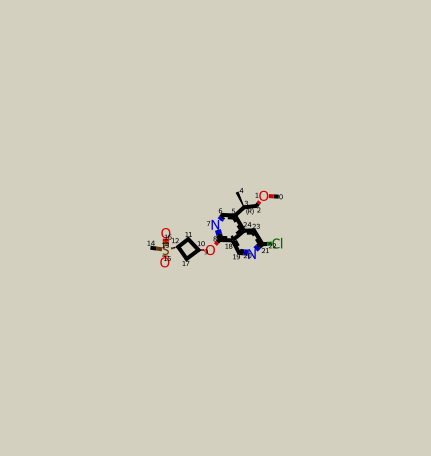 COC[C@H](C)c1cnc(O[C@H]2C[C@@H](S(C)(=O)=O)C2)c2cnc(Cl)cc12